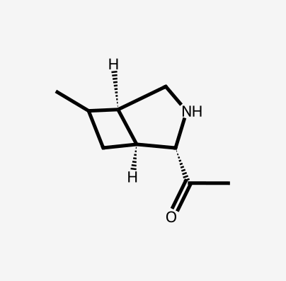 CC(=O)[C@H]1NC[C@@H]2C(C)C[C@H]12